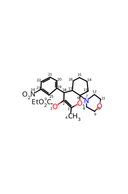 CCOC(=O)OC1=C(C)OC2(N3CCOCC3)CCCCC2C1c1cccc([N+](=O)[O-])c1